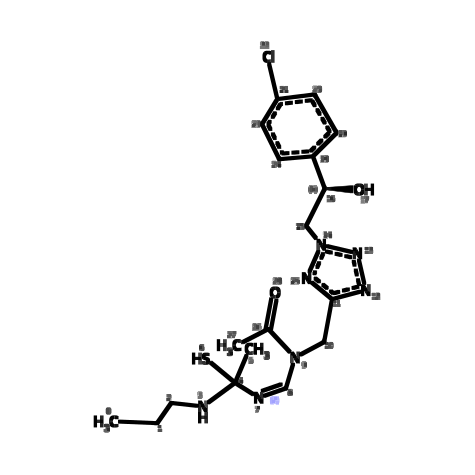 CCCNC(C)(S)/N=C\N(Cc1nnn(C[C@H](O)c2ccc(Cl)cc2)n1)C(C)=O